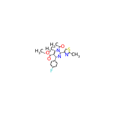 CCOC(=O)C1=C(C)N(C(C)=O)C(c2csc(C)n2)=NC1c1ccc(F)cc1